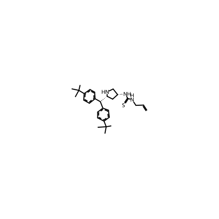 C=CCNC(=S)N[C@H]1CN[C@@H](C(c2ccc(C(C)(C)C)cc2)c2ccc(C(C)(C)C)cc2)C1